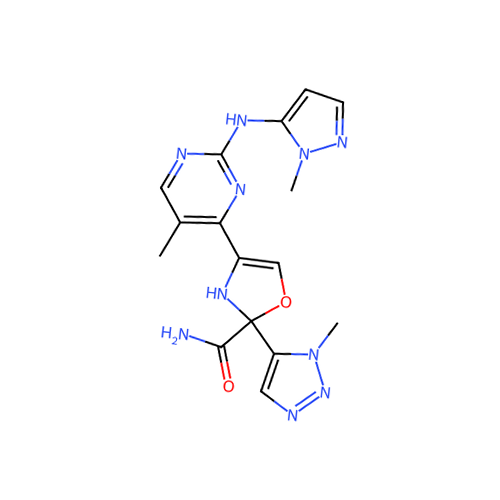 Cc1cnc(Nc2ccnn2C)nc1C1=COC(C(N)=O)(c2cnnn2C)N1